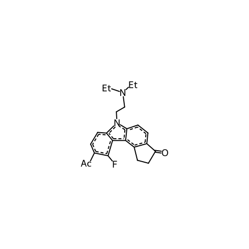 CCN(CC)CCn1c2ccc(C(C)=O)c(F)c2c2c3c(ccc21)C(=O)CC3